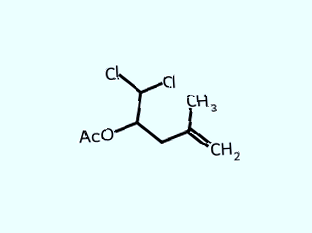 C=C(C)CC(OC(C)=O)C(Cl)Cl